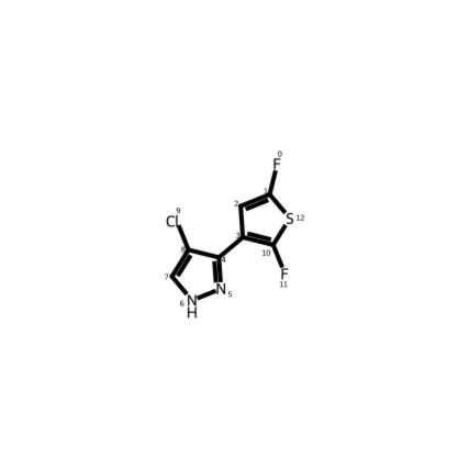 Fc1cc(-c2n[nH]cc2Cl)c(F)s1